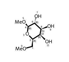 COC[C@H]1O[C@@H](OC)[C@H](O)[C@@H](O)[C@H]1O